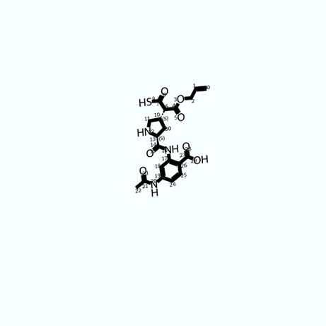 C=CCOC(=O)C(C(=O)S)[C@H]1CN[C@H](C(=O)Nc2cc(NC(C)=O)ccc2C(=O)O)C1